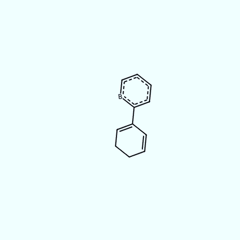 b1ccccc1C1=CCCC=C1